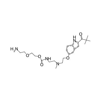 CN(CCNC(=O)OCCOCCN)CCOc1ccc2[nH]c(C(=O)C(C)(C)C)cc2c1